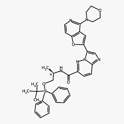 C[C@H](CO[Si](c1ccccc1)(c1ccccc1)C(C)(C)C)NC(=O)c1ccc2ncc(-c3cc4c(N5CCOCC5)nccc4o3)n2n1